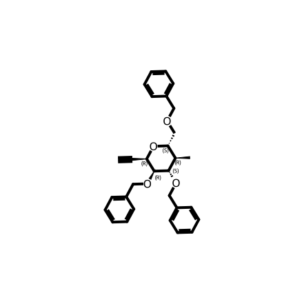 C#C[C@H]1O[C@H](COCc2ccccc2)[C@@H](C)[C@H](OCc2ccccc2)[C@H]1OCc1ccccc1